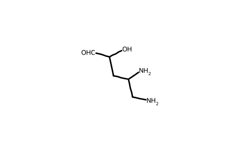 NCC(N)CC(O)C=O